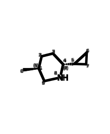 C[C@H]1CC[C@H](C2CC2)NC1